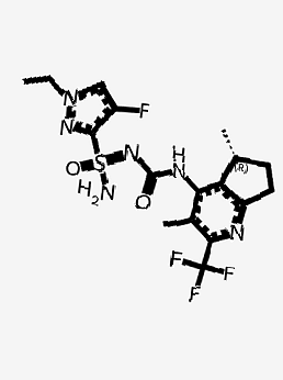 CCn1cc(F)c(S(N)(=O)=NC(=O)Nc2c(C)c(C(F)(F)F)nc3c2[C@H](C)CC3)n1